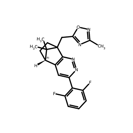 Cc1noc(CC23CC[C@@H](c4cc(-c5c(F)cccc5F)nnc42)C3(C)C)n1